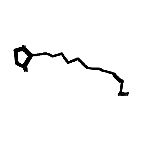 CCCCCCCC/C=C\CCCCCCCCc1ncc[nH]1